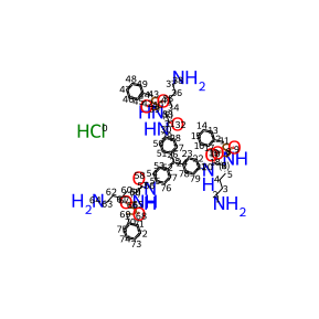 Cl.NCCCC[C@@H](NS(=O)(=O)Cc1ccccc1)C(=O)Nc1ccc(C(c2ccc(NC(=O)[C@@H](CCCCN)NS(=O)(=O)Cc3ccccc3)cc2)c2ccc(NC(=O)[C@@H](CCCCN)NS(=O)(=O)Cc3ccccc3)cc2)cc1